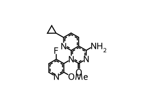 COc1nccc(F)c1-n1c(=O)nc(N)c2ccc(C3CC3)nc21